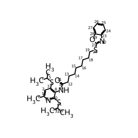 Cc1cc(SC(C)C)c(NC(=O)CCCCCCCCSc2nc3ccccc3o2)c(SC(C)C)n1